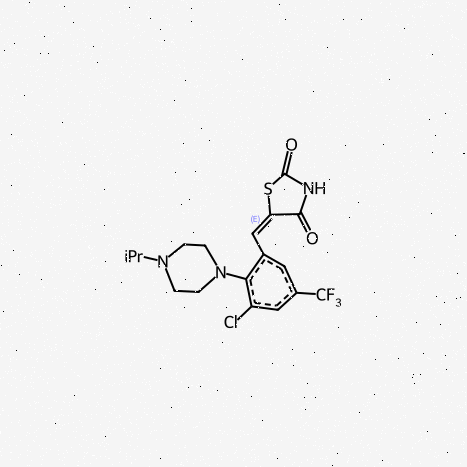 CC(C)N1CCN(c2c(Cl)cc(C(F)(F)F)cc2/C=C2/SC(=O)NC2=O)CC1